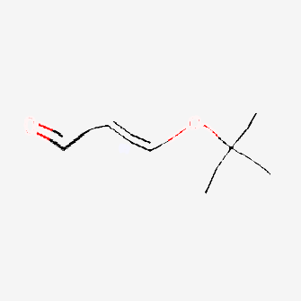 CC(C)(C)O/C=C/C=O